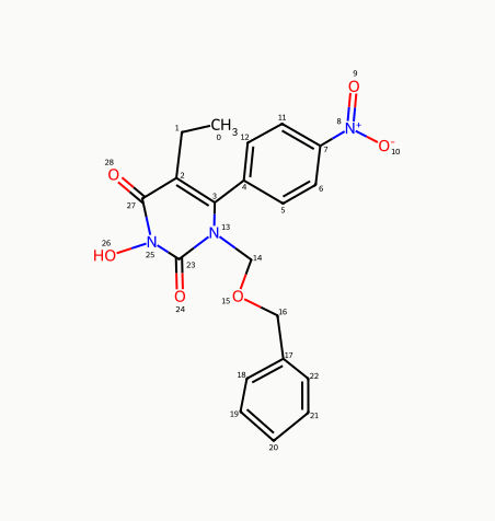 CCc1c(-c2ccc([N+](=O)[O-])cc2)n(COCc2ccccc2)c(=O)n(O)c1=O